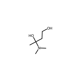 CN(C)C(C)(O)CCO